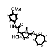 COc1ccc(NC(=O)CC2CS/C(=N\C3CCCCCC3)N2C)cc1.Cl